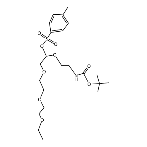 CCOCCOCCOCC(OCCNC(=O)OC(C)(C)C)OS(=O)(=O)c1ccc(C)cc1